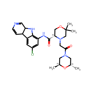 C[C@H]1CN(C(=O)CN2CC(C)(C)OC[C@H]2C(=O)Nc2cc(Cl)cc3c2NC2C=NC=CC32)C[C@H](C)O1